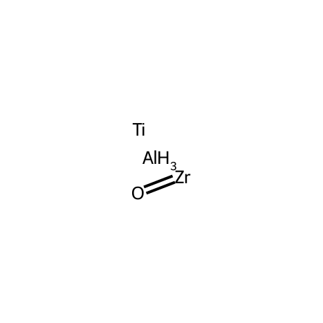 [AlH3].[O]=[Zr].[Ti]